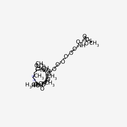 COc1cc2cc(c1Cl)N(C)C(=O)C[C@H](OC(=O)CCOCCOCCOCCOCCOCCOCCNC(=O)CCN1C(=O)CC(SC)C1=O)[C@]1(C)O[C@H]1[C@H](C)[C@@H]1C[C@@](O)(NC(=O)O1)[C@H](OC)/C=C/C=C(\C)C2